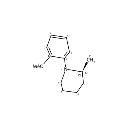 COc1ccccc1N1CCCC[C@@H]1C